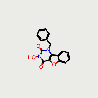 O=c1c2oc3ccccc3c2n(Cc2ccccc2)c(=O)n1O